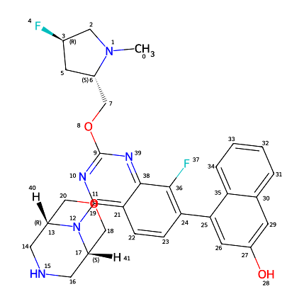 CN1C[C@H](F)C[C@H]1COc1nc(N2[C@@H]3CNC[C@H]2COC3)c2ccc(-c3cc(O)cc4ccccc34)c(F)c2n1